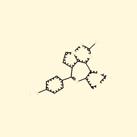 Nc1ccc(C2=Nc3ccccc3-c3nc(N)nn4ccc2c34)cc1